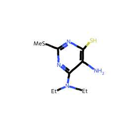 CCN(CC)c1nc(SC)nc(S)c1N